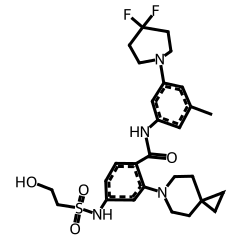 Cc1cc(NC(=O)c2ccc(NS(=O)(=O)CCO)cc2N2CCC3(CC2)CC3)cc(N2CCC(F)(F)CC2)c1